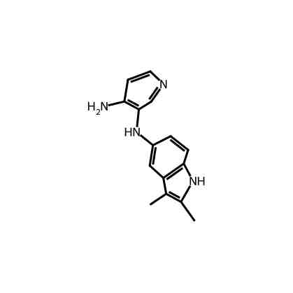 Cc1[nH]c2ccc(Nc3cnccc3N)cc2c1C